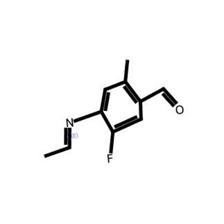 C/C=N/c1cc(C)c(C=O)cc1F